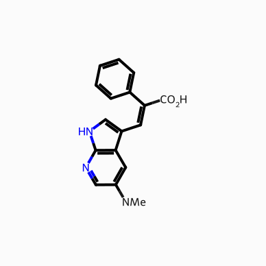 CNc1cnc2[nH]cc(C=C(C(=O)O)c3ccccc3)c2c1